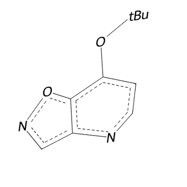 CC(C)(C)Oc1ccnc2cnoc12